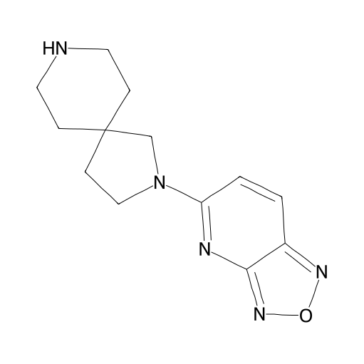 c1cc2nonc2nc1N1CCC2(CCNCC2)C1